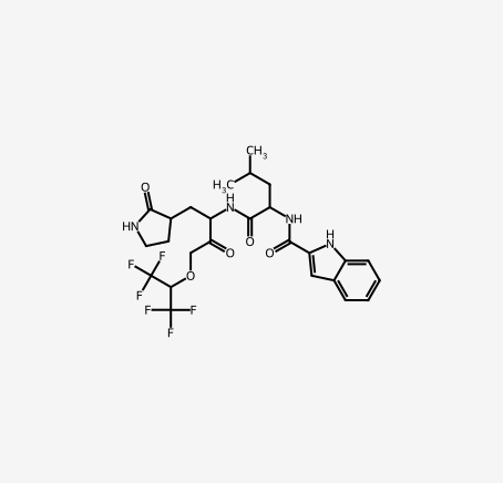 CC(C)CC(NC(=O)c1cc2ccccc2[nH]1)C(=O)NC(CC1CCNC1=O)C(=O)COC(C(F)(F)F)C(F)(F)F